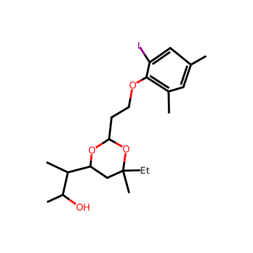 CCC1(C)CC(C(C)C(C)O)OC(CCOc2c(C)cc(C)cc2I)O1